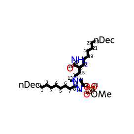 CCCCCCCCCCCCCCCCCC1=NCC[N+]1(C)CCC(CCCCCCCCCCCCCCCC)C(N)=O.COS(=O)(=O)[O-]